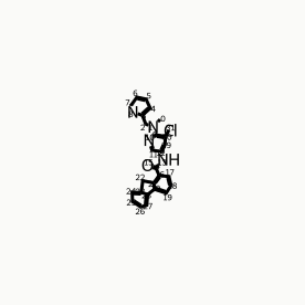 CN(Cc1ccccn1)c1ncc(NC(=O)c2cccc3c2Cc2ccccc2-3)cc1Cl